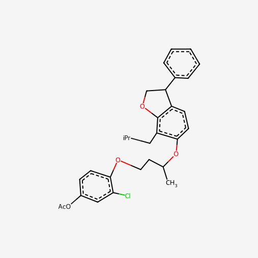 CC(=O)Oc1ccc(OCCC(C)Oc2ccc3c(c2CC(C)C)OCC3c2ccccc2)c(Cl)c1